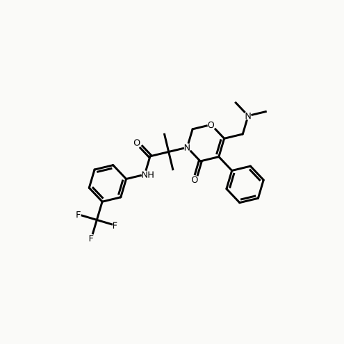 CN(C)CC1=C(c2ccccc2)C(=O)N(C(C)(C)C(=O)Nc2cccc(C(F)(F)F)c2)CO1